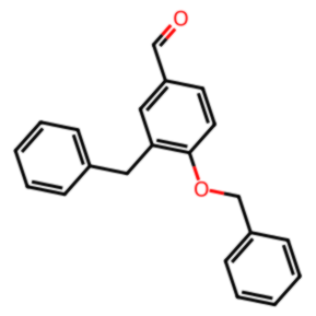 O=Cc1ccc(OCc2ccccc2)c(Cc2ccccc2)c1